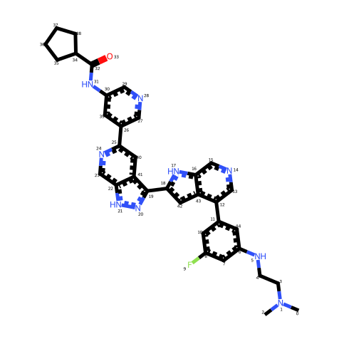 CN(C)CCNc1cc(F)cc(-c2cncc3[nH]c(-c4n[nH]c5cnc(-c6cncc(NC(=O)C7CCCC7)c6)cc45)cc23)c1